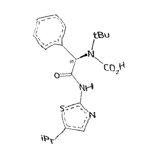 CC(C)c1cnc(NC(=O)[C@@H](c2ccccc2)N(C(=O)O)C(C)(C)C)s1